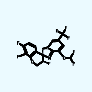 Fc1ccc2c(c1F)OC[C@H](F)[C@@]21CN2C=C(C(F)(F)F)C=C(OC(F)F)C2=N1